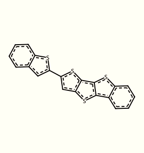 c1ccc2sc(-c3cc4sc5c6ccccc6sc5c4s3)cc2c1